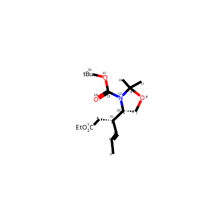 CC=C[C@H](CC(=O)OCC)[C@H]1COC(C)(C)N1C(=O)OC(C)(C)C